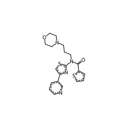 O=C(c1cccs1)N(CCCN1CCOCC1)c1nc(-c2cccnc2)cs1